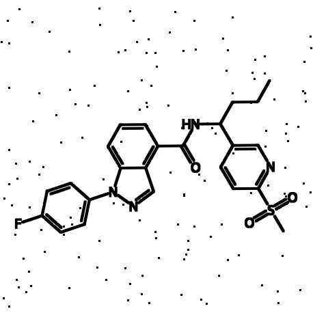 CCCC(NC(=O)c1cccc2c1cnn2-c1ccc(F)cc1)c1ccc(S(C)(=O)=O)nc1